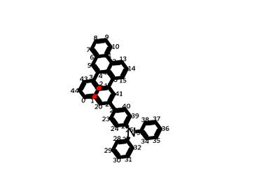 c1ccc(-c2cc3ccccc3c3cccc(-c4cccc(-c5ccc(N(c6ccccc6)c6ccccc6)cc5)c4)c23)cc1